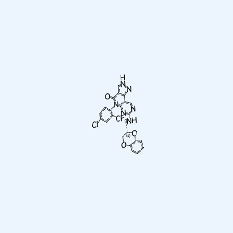 O=c1c2c[nH]nc2c2cnc(NC[C@H]3COc4ccccc4O3)nc2n1-c1ccc(Cl)cc1C(F)(F)F